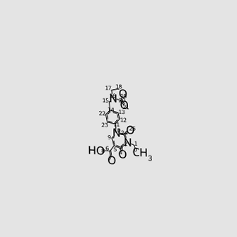 CCn1c(=O)c(C(=O)O)cn(-c2ccc(CN3CCOC3=O)cc2)c1=O